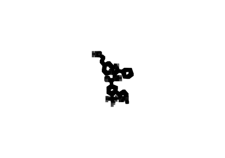 Cn1ccc(-c2cc(C(=O)Nc3c(-c4ccccc4)nc4cc(CCO)ccn34)ccc2C(F)(F)F)n1